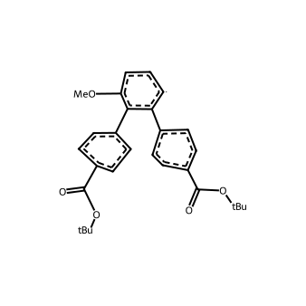 COc1cc[c]c(-c2ccc(C(=O)OC(C)(C)C)cc2)c1-c1ccc(C(=O)OC(C)(C)C)cc1